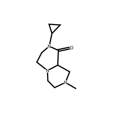 CN1CCN2CCN(C3CC3)C(=O)C2C1